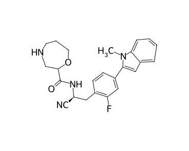 Cn1c(-c2ccc(C[C@@H](C#N)NC(=O)C3CNCCCO3)c(F)c2)cc2ccccc21